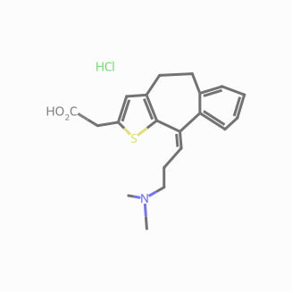 CN(C)CCC=C1c2ccccc2CCc2cc(CC(=O)O)sc21.Cl